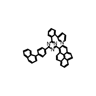 c1cncc(-c2ccccc2-c2nc(-c3ccc(-c4cccc5ccccc45)cc3)nc(-c3ccc4ccc5cccc6ccc3c4c56)n2)c1